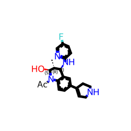 CC(=O)N1c2ccc(C3=CCNCC3)cc2[C@H](Nc2ccc(F)cn2)[C@@H](C)[C@@H]1O